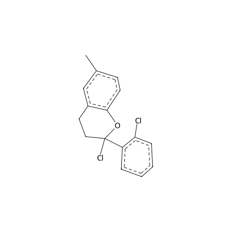 Cc1ccc2c(c1)CCC(Cl)(c1ccccc1Cl)O2